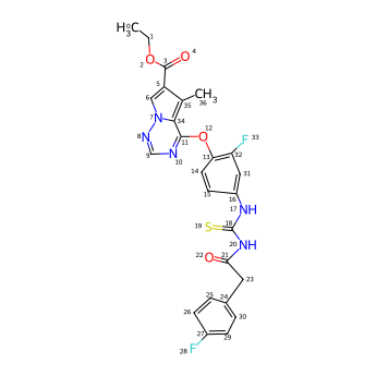 CCOC(=O)c1cn2ncnc(Oc3ccc(NC(=S)NC(=O)Cc4ccc(F)cc4)cc3F)c2c1C